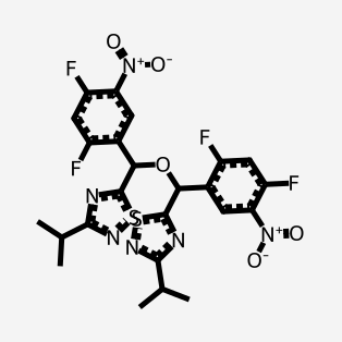 CC(C)c1nsc(C(OC(c2nc(C(C)C)ns2)c2cc([N+](=O)[O-])c(F)cc2F)c2cc([N+](=O)[O-])c(F)cc2F)n1